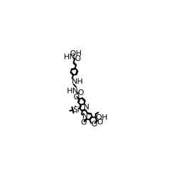 CC[C@@]1(O)C(=O)OCc2c1cc1n(c2=O)Cc2c-1nc1ccc(OC(=O)NCCNCc3ccc(/C=C/C(=O)NO)cc3)cc1c2[Si](C)(C)C(C)(C)C